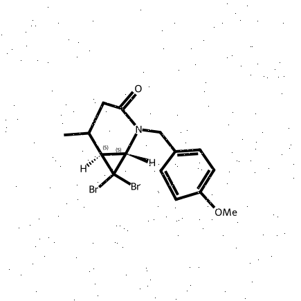 COc1ccc(CN2C(=O)CC(C)[C@H]3[C@H]2C3(Br)Br)cc1